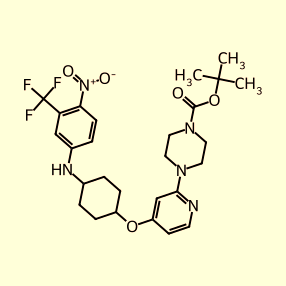 CC(C)(C)OC(=O)N1CCN(c2cc(OC3CCC(Nc4ccc([N+](=O)[O-])c(C(F)(F)F)c4)CC3)ccn2)CC1